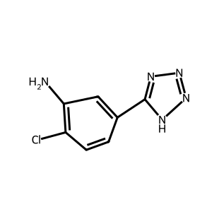 Nc1cc(-c2nnn[nH]2)ccc1Cl